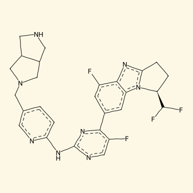 Fc1cnc(Nc2ccc(CN3CC4CNCC4C3)cn2)nc1-c1cc(F)c2nc3n(c2c1)[C@H](C(F)F)CC3